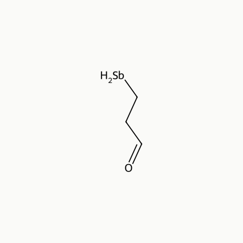 O=CC[CH2][SbH2]